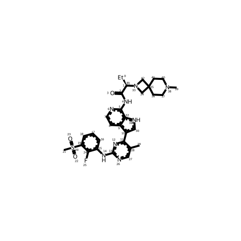 CC[C@H](C(=O)Nc1nccc2c(-c3nc(Nc4cccc(S(C)(=O)=O)c4F)ncc3C)c[nH]c12)N1CC2(CCN(C)CC2)C1